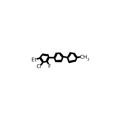 CCc1ccc(-c2ccc(-c3ccc(C)cc3)cc2)c(F)c1Cl